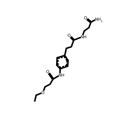 CCOCCC(=O)Nc1ccc(CCC(=O)NCCC(N)=O)cc1